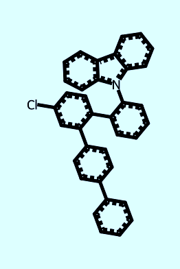 Clc1ccc(-c2ccccc2-n2c3ccccc3c3ccccc32)c(-c2ccc(-c3ccccc3)cc2)c1